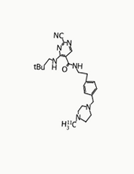 CC(C)(C)CNc1nc(C#N)ncc1C(=O)NCCc1ccc(CN2CCN([11CH3])CC2)cc1